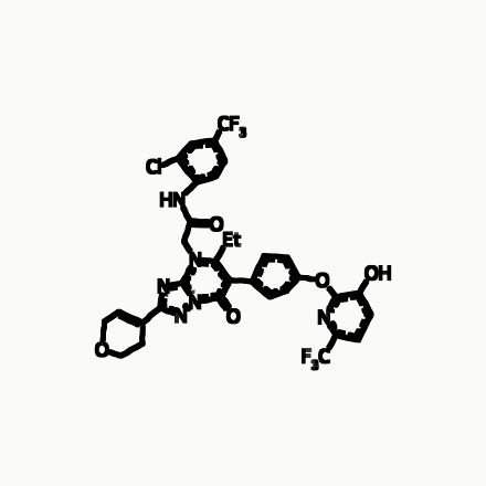 CCc1c(-c2ccc(Oc3nc(C(F)(F)F)ccc3O)cc2)c(=O)n2nc(C3=CCOCC3)nc2n1CC(=O)Nc1ccc(C(F)(F)F)cc1Cl